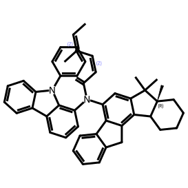 C=C(/C=C\C(C)=C/C)N(c1cc2c(c3c1-c1ccccc1C3)C1CCCC[C@@]1(C)C2(C)C)c1cccc2c3ccccc3n(-c3ccccc3)c12